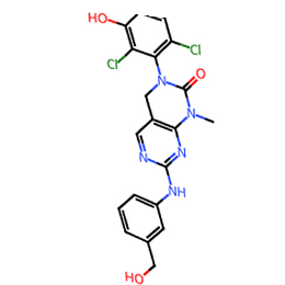 CN1C(=O)N(c2c(Cl)ccc(O)c2Cl)Cc2cnc(Nc3cccc(CO)c3)nc21